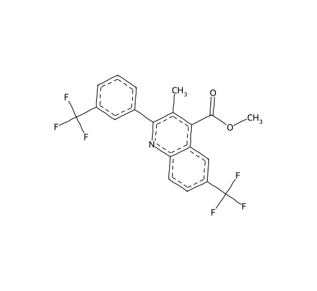 COC(=O)c1c(C)c(-c2cccc(C(F)(F)F)c2)nc2ccc(C(F)(F)F)cc12